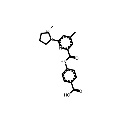 Cc1cc(C(=O)Nc2ccc(C(=O)O)cc2)nc(N2CCC[C@@H]2C)c1